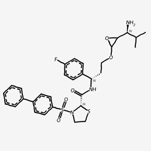 CC(C)[C@H](N)C1OC1OCC[C@H](NC(=O)[C@@H]1SCCN1S(=O)(=O)c1ccc(-c2ccccc2)cc1)c1ccc(F)cc1